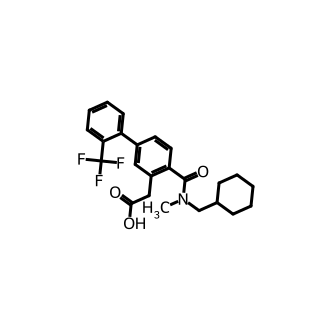 CN(CC1CCCCC1)C(=O)c1ccc(-c2ccccc2C(F)(F)F)cc1CC(=O)O